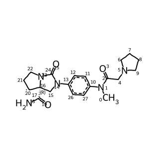 CN(C(=O)CN1CCCC1)c1ccc(N2C[C@@]3(C(N)=O)[CH]CCN3C2=O)cc1